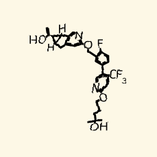 C=C(O)[C@H]1[C@@H]2Cc3cc(OCc4cc(-c5cnc(OCCCC(C)(C)O)cc5C(F)(F)F)ccc4F)ncc3[C@@H]21